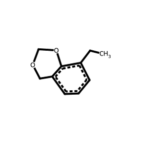 CCc1cccc2c1OCOC2